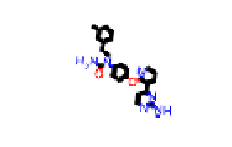 CNc1nccc(-c2cccnc2Oc2ccc(N(CCc3cccc(C)c3)C(N)=O)cc2)n1